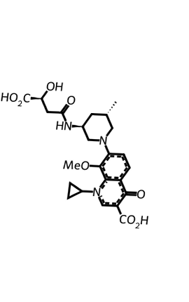 COc1c(N2C[C@@H](C)C[C@H](NC(=O)C[C@H](O)C(=O)O)C2)ccc2c(=O)c(C(=O)O)cn(C3CC3)c12